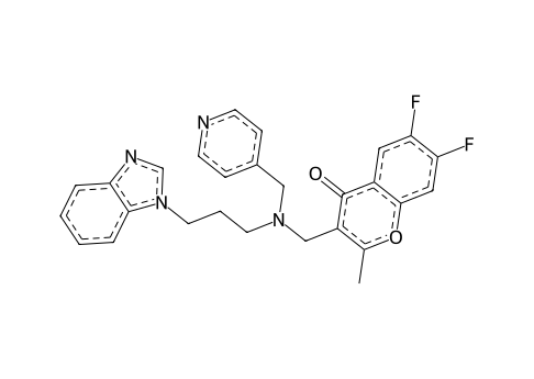 Cc1oc2cc(F)c(F)cc2c(=O)c1CN(CCCn1cnc2ccccc21)Cc1ccncc1